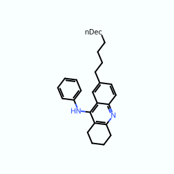 CCCCCCCCCCCCCCc1ccc2nc3c(c(Nc4ccccc4)c2c1)CCCC3